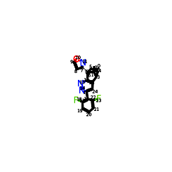 CC1(C)C2CC[C@]1(c1ccon1)c1nnc(-c3c(F)cccc3F)cc12